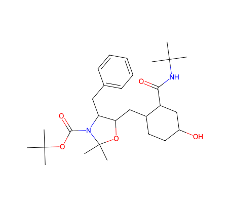 CC(C)(C)NC(=O)C1CC(O)CCC1CC1OC(C)(C)N(C(=O)OC(C)(C)C)C1Cc1ccccc1